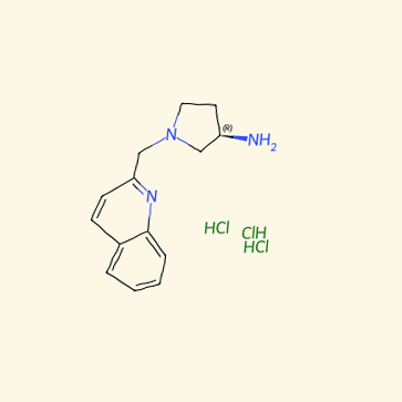 Cl.Cl.Cl.N[C@@H]1CCN(Cc2ccc3ccccc3n2)C1